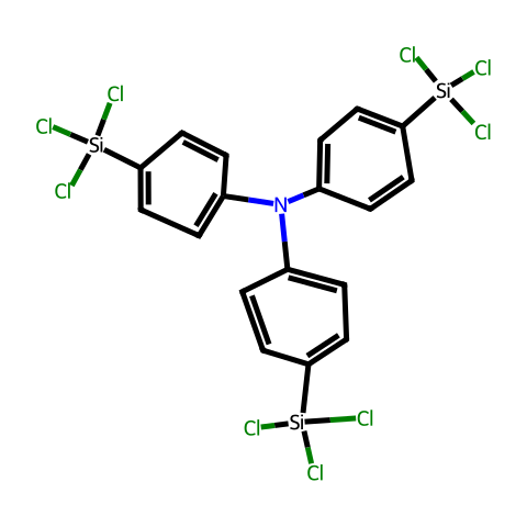 Cl[Si](Cl)(Cl)c1ccc(N(c2ccc([Si](Cl)(Cl)Cl)cc2)c2ccc([Si](Cl)(Cl)Cl)cc2)cc1